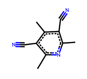 Cc1nc(C)c(C#N)c(C)c1C#N